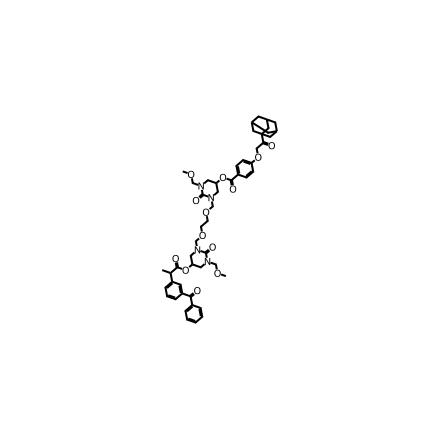 COCN1CC(OC(=O)c2ccc(OCC(=O)C34CC5CC(CC(C5)C3)C4)cc2)CN(COCCOCN2CC(OC(=O)C(C)c3cccc(C(=O)c4ccccc4)c3)CN(COC)C2=O)C1=O